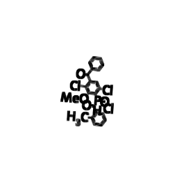 COc1c(Cl)c(C(=O)c2ccccc2)cc(Cl)c1[PH](=O)C(=O)c1c(C)cccc1Cl